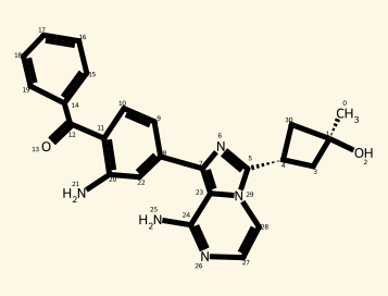 C[C@]1(O)C[C@H](c2nc(-c3ccc(C(=O)c4ccccc4)c(N)c3)c3c(N)nccn32)C1